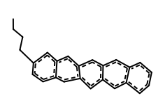 CCCCc1ccc2cc3cc4cc5ccccc5cc4cc3cc2c1